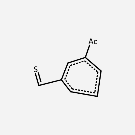 CC(=O)c1cccc(C=S)c1